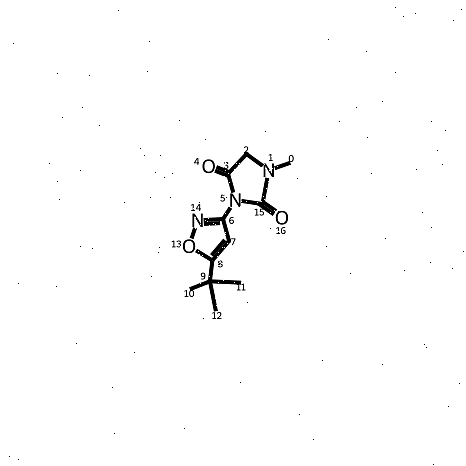 CN1CC(=O)N(c2cc(C(C)(C)C)on2)C1=O